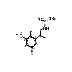 Cc1c(C(C)CN[S@+]([O-])C(C)(C)C)cc(F)cc1C(F)(F)F